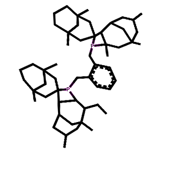 CCC1C2C(C3CC(C)CC1(C)C3)C1(CC3(C)CCCC(C)(C3)C1)P2Cc1ccccc1CP1C2(C)CC3(C)CC(C)CC(C3)C2C12CC1(C)CCCC(C)(C1)C2